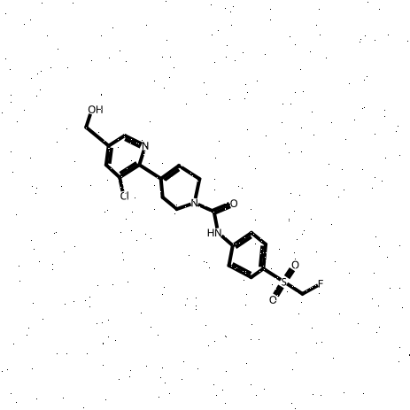 O=C(Nc1ccc(S(=O)(=O)CF)cc1)N1CC=C(c2ncc(CO)cc2Cl)CC1